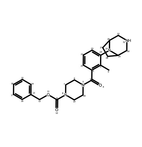 Cc1c(C(=O)N2CCN(C(=O)OCc3ccccc3)CC2)cccc1N1C2CCC1CNC2